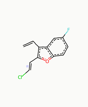 C=Cc1c(/C=C/Cl)oc2ccc(F)cc12